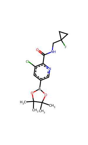 CC1(C)OB(c2cnc(C(=O)NCC3(F)CC3)c(Cl)c2)OC1(C)C